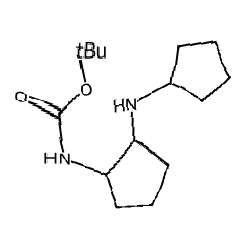 CC(C)(C)OC(=O)NC1CCCC1NC1CCCC1